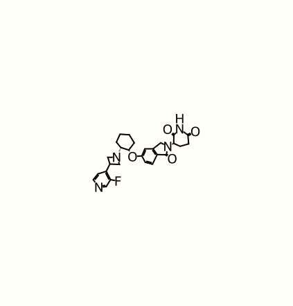 O=C1CC[C@H](N2Cc3cc(O[C@H]4CCCC[C@H]4N4CC(c5ccncc5F)C4)ccc3C2=O)C(=O)N1